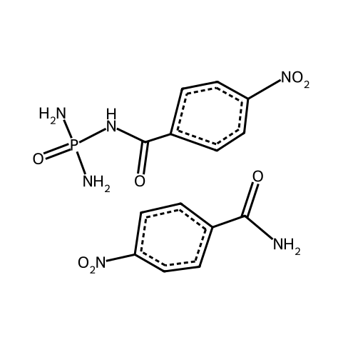 NC(=O)c1ccc([N+](=O)[O-])cc1.NP(N)(=O)NC(=O)c1ccc([N+](=O)[O-])cc1